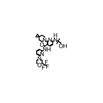 CC(C)(CO)Nc1ccc(C(=O)Nc2cccc(N3CCOC(C(F)(F)F)C3)n2)c(N2CCC3(CC2)CC3)n1